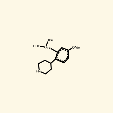 CC(C)(C)OC=O.COc1ccc(C2CCNCC2)c(C(C)C)c1